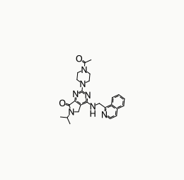 CC(=O)N1CCN(c2nc(NCc3nccc4ccccc34)c3c(n2)C(=O)N(C(C)C)C3)CC1